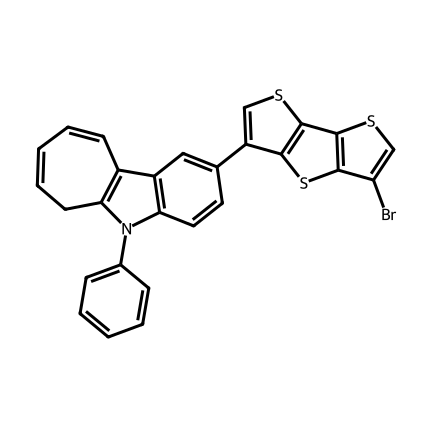 Brc1csc2c1sc1c(-c3ccc4c(c3)c3c(n4-c4ccccc4)CC=CC=C3)csc12